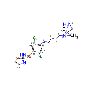 CC(C)(CN)NCCCCNc1cc(F)c(SNc2nccs2)cc1Cl